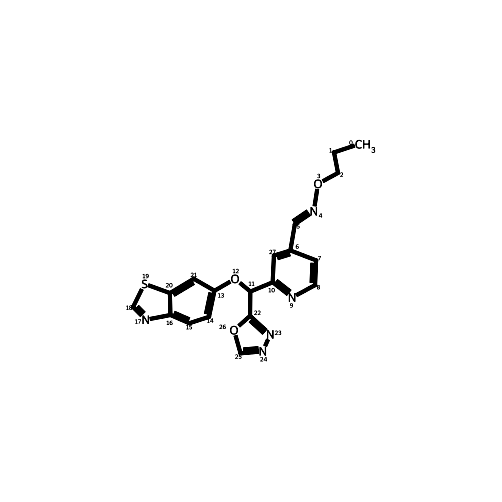 CCCO/N=C/c1ccnc(C(Oc2ccc3ncsc3c2)c2nnco2)c1